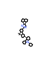 CC1(C)c2ccc(-c3ncc4c(n3)-c3cccc5cccc-4c35)cc2-c2cc(-c3cccc4c3c3ccccc3n4-c3ccccc3)ccc21